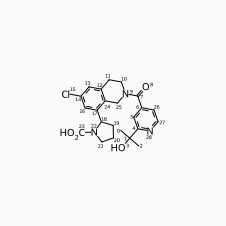 CC(C)(O)c1cc(C(=O)N2CCc3cc(Cl)cc(C4CCCN4C(=O)O)c3C2)ccn1